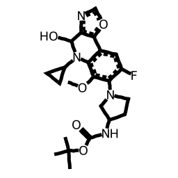 COc1c(N2CCC(NC(=O)OC(C)(C)C)C2)c(F)cc2c1N(C1CC1)C(O)c1ncoc1-2